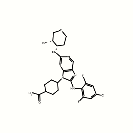 NC(=O)C1CCC(n2c(Nc3c(F)cc(Cl)cc3F)nc3cnc(N[C@H]4CCOC[C@H]4F)nc32)CC1